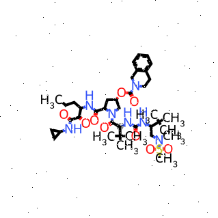 CCCC(NC(=O)C1CC(OC(=O)N2CCc3ccccc3C2)CN1C(=O)[C@@H](NC(=O)NC(CN(C)S(C)(=O)=O)C(C)(C)C)C(C)(C)C)C(=O)C(=O)NC1CC1